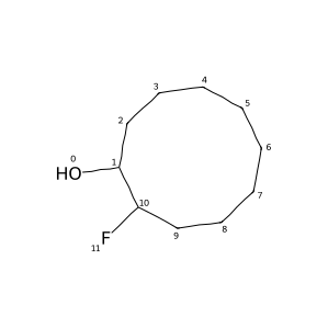 OC1CCCCCCCCC1F